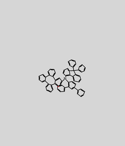 c1ccc(-c2ccc(N(c3ccc4c(c3)-c3ccccc3-c3ccccc3-c3ccccc3-4)c3cccc4c3-c3ccccc3C4(c3ccccc3)c3ccccc3)c(-c3ccccc3)c2)cc1